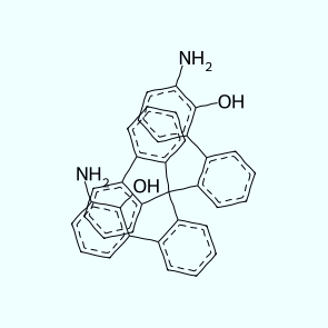 Nc1cccc(-c2ccccc2C2(c3ccccc3-c3cccc(N)c3O)c3ccccc3-c3ccccc32)c1O